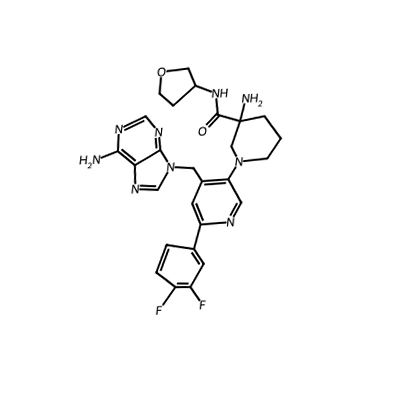 Nc1ncnc2c1ncn2Cc1cc(-c2ccc(F)c(F)c2)ncc1N1CCCC(N)(C(=O)NC2CCOC2)C1